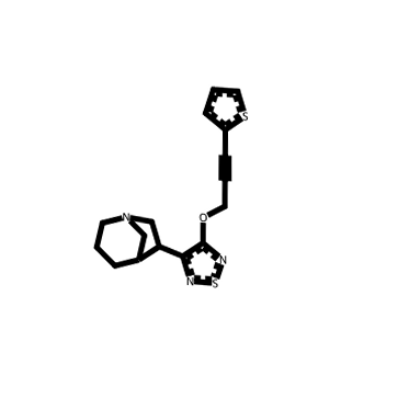 C(#Cc1cccs1)COc1nsnc1C1CN2CCCC1C2